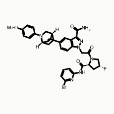 COc1ccc(N2C[C@@H]3CC[C@H]2C=C3c2ccc3c(c2)c(C(N)=O)nn3CC(=O)N2C[C@H](F)C[C@H]2C(=O)Nc2cccc(Br)n2)cc1